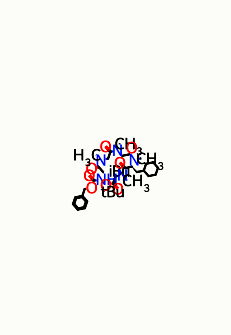 CC[C@H](C)[C@H](NC(=O)OCc1ccccc1)C(=O)N(C)CC(=O)N(C)CC(=O)N(C)[C@@H](CC1CCCCC1)C(=O)N(C)CC(=O)OC(C)(C)C